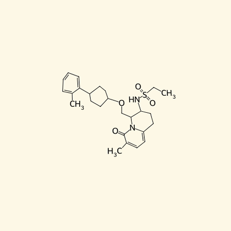 CCS(=O)(=O)NC1CCc2ccc(C)c(=O)n2C1COC1CCC(c2ccccc2C)CC1